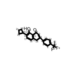 O=C1C=C(c2ccc(C(F)(F)F)cc2)Cc2ccc(C3CCC3)c(O)c21